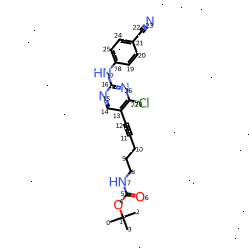 CC(C)(C)OC(=O)NCCCC#Cc1cnc(Nc2ccc(C#N)cc2)nc1Cl